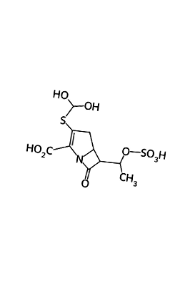 CC(OS(=O)(=O)O)C1C(=O)N2C(C(=O)O)=C(SC(O)O)CC12